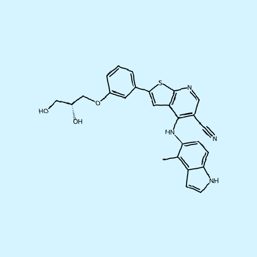 Cc1c(Nc2c(C#N)cnc3sc(-c4cccc(OC[C@H](O)CO)c4)cc23)ccc2[nH]ccc12